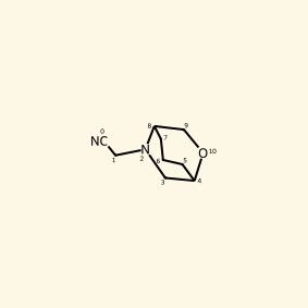 N#CCN1CC2CCCC1CO2